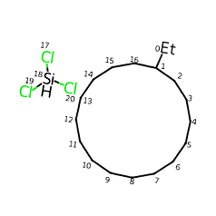 CCC1CCCCCCCCCCCCCCC1.Cl[SiH](Cl)Cl